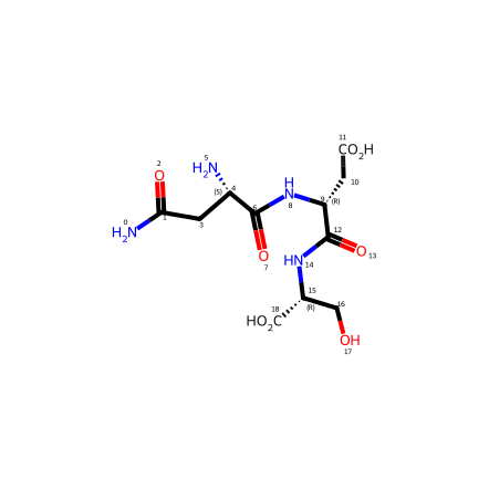 NC(=O)C[C@H](N)C(=O)N[C@H](CC(=O)O)C(=O)N[C@H](CO)C(=O)O